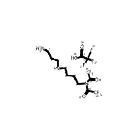 NCCCNCCCCN(C(=O)C(F)(F)F)C(=O)C(F)(F)F.O=C(O)C(F)(F)F